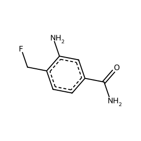 NC(=O)c1ccc(CF)c(N)c1